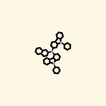 c1ccc(-n2c3ccccc3c3ccc(N(c4ccc5ccccc5c4)c4cccc5c4c4ccccc4n5-c4ccccc4)cc32)cc1